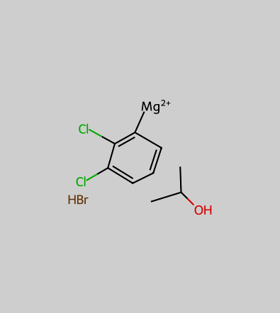 Br.CC(C)O.[Mg+2][c]1cccc(Cl)c1Cl